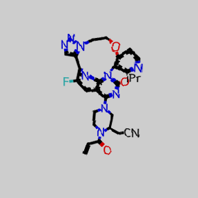 C=CC(=O)N1CCN(c2nc(=O)n3c4nc(c(F)cc24)-c2cnnn2CCOc2ccnc(C(C)C)c2-3)CC1CC#N